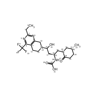 CCc1nc2c(c(C(F)(F)F)n1)CCN(C(O)C[C@@H](CN1C[C@H](C)CCC1=O)NC(=O)O)C2